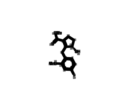 COC(=O)C1=C(Cc2ccc(F)cc2OC)[C@@H](O)CC1